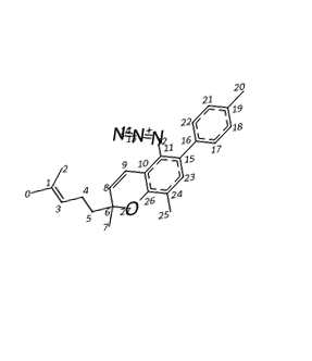 CC(C)=CCCC1(C)C=Cc2c(N=[N+]=[N-])c(-c3ccc(C)cc3)cc(C)c2O1